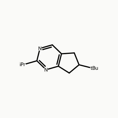 CC(C)c1ncc2c(n1)CC(C(C)(C)C)C2